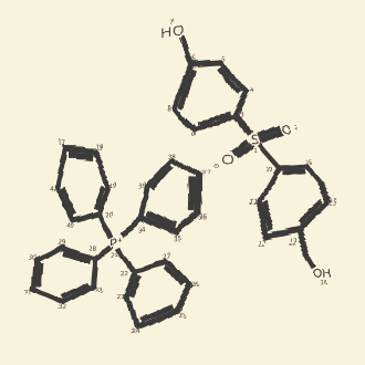 O=S(=O)(c1ccc(O)cc1)c1ccc(O)cc1.c1ccc([P+](c2ccccc2)(c2ccccc2)c2ccccc2)cc1